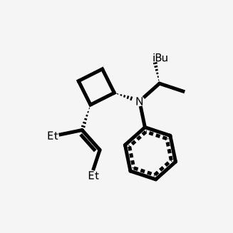 CCC=C(CC)[C@@H]1CC[C@@H]1N(c1ccccc1)[C@@H](C)C(C)CC